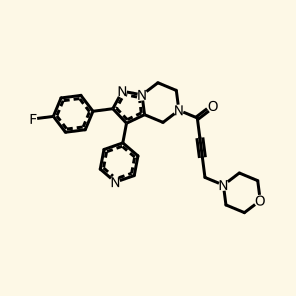 O=C(C#CCN1CCOCC1)N1CCn2nc(-c3ccc(F)cc3)c(-c3ccncc3)c2C1